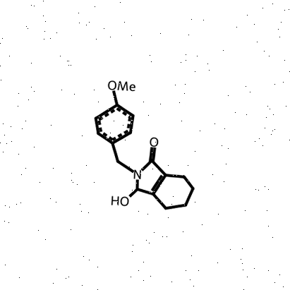 COc1ccc(CN2C(=O)C3=C(CCCC3)C2O)cc1